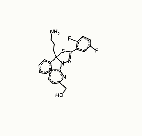 NCCCC1(c2ccccc2)SC(c2cc(F)ccc2F)=NN1c1nccc(CO)n1